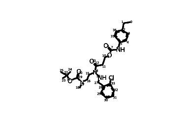 CCc1ccc(NC(=O)OCCC(=O)N(CCN(C)C(=O)OC(C)(C)C)NCc2ccccc2Cl)cc1